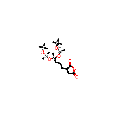 C[SiH](O[Si](C)(C)C)O[Si](C)(CCCC1CC(=O)OC1=O)O[Si](C)(C)O[Si](C)(C)C